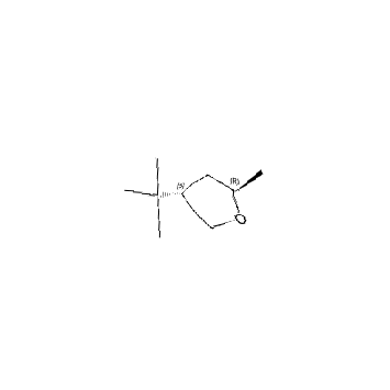 C[C@@H]1C[C@@H](C(C)(C)C)CO1